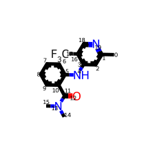 Cc1cc(Nc2ccccc2C(=O)N(C)C)c(C(F)(F)F)cn1